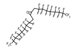 FC(F)(F)C(F)(F)C(F)(F)C(F)(F)C(F)(F)C(F)(F)C(F)(F)C(F)(F)CC1OC1CC(F)(F)C(F)(F)C(F)(F)C(F)(F)C(F)(F)C(F)(F)C(F)(F)C(F)(F)F